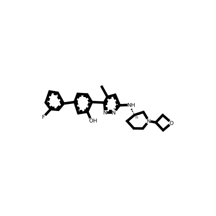 Cc1cc(N[C@H]2CCCN(C3COC3)C2)nnc1-c1ccc(-c2cccc(F)c2)cc1O